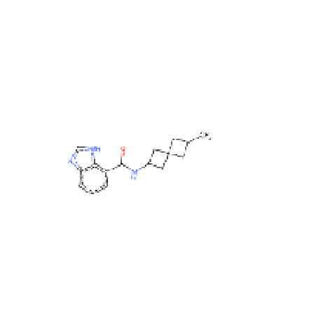 CC1CC2(C1)CC(NC(=O)c1cccc3nc[nH]c13)C2